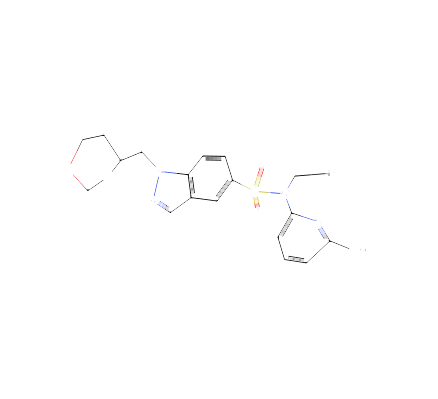 COc1cccc(N(CC(C)C)S(=O)(=O)c2ccc3c(cnn3CC3CCOCC3)c2)n1